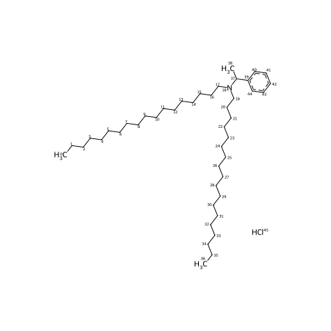 CCCCCCCCCCCCCCCCCCN(CCCCCCCCCCCCCCCCCC)C(C)c1ccccc1.Cl